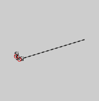 C#CC#CC#CC#CC#CC#CC#CC#CC#CC#CC#CC#CC#CC#C[Si](C)(C)O[Si](C)(C)O[Si](C)(C)C